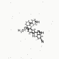 CCOC(=O)C1CCCN(C2CCNCC2)[C@@H]1Cc1cccc2[nH]c(-c3n[nH]c4cc(C#N)ccc34)cc12